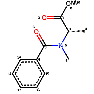 COC(=O)[C@H](C)N(C)C(=O)c1ccccc1